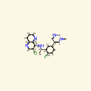 C=N/C=C(\C=N/C)c1ccc(F)c([C@@H](C)Nc2c(Cl)cnc3cccnc23)c1